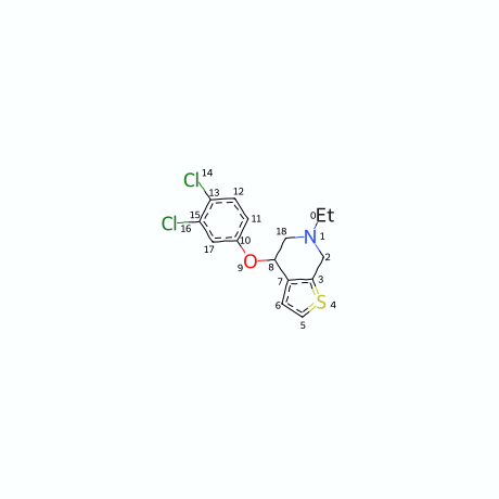 CCN1Cc2sccc2C(Oc2ccc(Cl)c(Cl)c2)C1